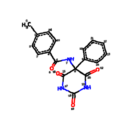 Cc1ccc(C(=O)NC2(c3ccccc3)C(=O)NC(=O)NC2=O)cc1